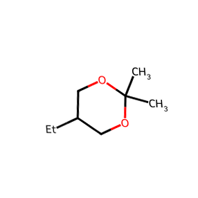 [CH2]CC1COC(C)(C)OC1